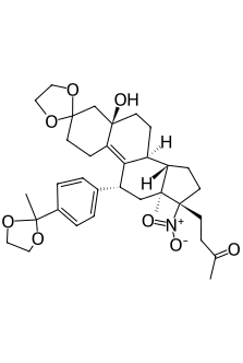 CC(=O)CC[C@]1([N+](=O)[O-])CC[C@H]2[C@@H]3CC[C@@]4(O)CC5(CCC4=C3[C@@H](c3ccc(C4(C)OCCO4)cc3)C[C@@]21C)OCCO5